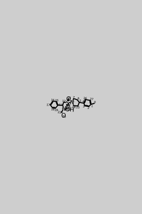 Cc1ccc(C2CCN(S(=O)(=O)CC(c3ccccc3)N(O)C=O)CC2)cc1